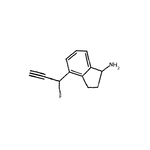 C#CC(F)c1cccc2c1CCC2N